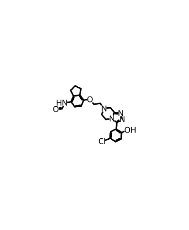 O=CNc1ccc(OCCN2CCn3c(nnc3-c3cc(Cl)ccc3O)C2)c2c1CCC2